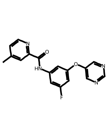 Cc1ccnc(C(=O)Nc2cc(F)cc(Oc3cncnc3)c2)c1